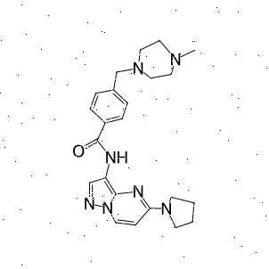 CN1CCN(Cc2ccc(C(=O)Nc3cnn4ccc(N5CCCC5)nc34)cc2)CC1